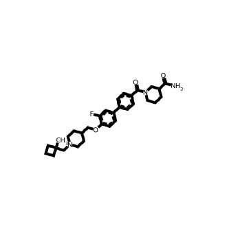 CC1(CN2CCC(COc3ccc(-c4ccc(C(=O)N5CCCC(C(N)=O)C5)cc4)cc3F)CC2)CCC1